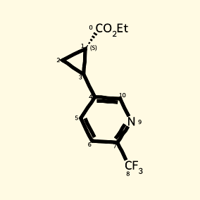 CCOC(=O)[C@H]1CC1c1ccc(C(F)(F)F)nc1